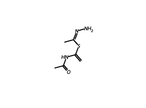 C=C(NC(C)=O)S/C(C)=N\N